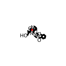 O=C(c1ccccc1Cl)N1CCN(C(=NC2(C(=O)O)CC2CO)c2cccnc2)CC1